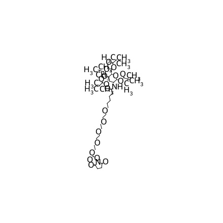 CC(C)(C)C(=O)OC[C@H]1OC(OC(=O)C(C)(C)C)[C@H](NC(=O)CCCCCOCCOCCOCCOCCOC(=O)ON2C(=O)CCC2=O)[C@@H](OC(=O)C(C)(C)C)[C@H]1OC(=O)C(C)(C)C